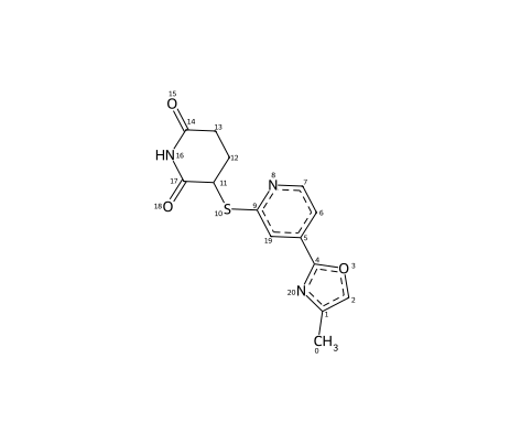 Cc1coc(-c2ccnc(SC3CCC(=O)NC3=O)c2)n1